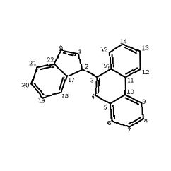 C1=CC(c2cc3ccccc3c3ccccc23)c2ccccc21